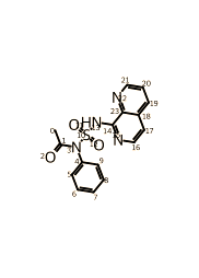 CC(=O)N(c1ccccc1)S(=O)(=O)Nc1nccc2cccnc12